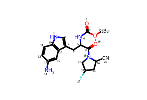 CC(C)(C)OC(=O)NC(Cc1c[nH]c2ccc(N)cc12)C(=O)N1CC(F)CC1C#N